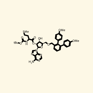 COc1ccc(-c2cccc(COC[C@H]3O[C@@H](n4cnc5c(N)ncnc54)[C@H](OC(=O)C(CCSC)NC(=O)OC(C)(C)C)[C@@H]3O)c2-c2ccc(OC)cc2)cc1